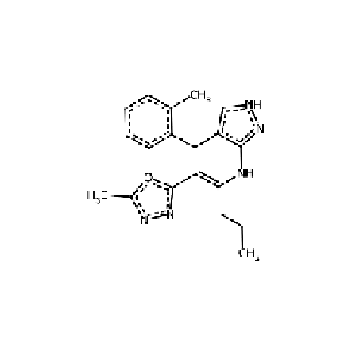 CCCC1=C(c2nnc(C)o2)C(c2ccccc2C)c2c[nH]nc2N1